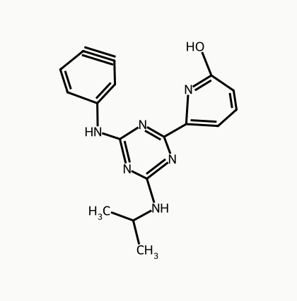 CC(C)Nc1nc(Nc2cc#ccc2)nc(-c2cccc(O)n2)n1